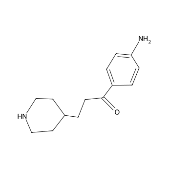 Nc1ccc(C(=O)CCC2CCNCC2)cc1